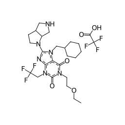 CCOCCn1c(=O)c2c(nc(N3CCC4CNCC43)n2CC2CCCCC2)n(CC(F)(F)F)c1=O.O=C(O)C(F)(F)F